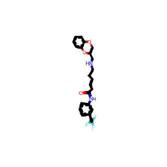 O=C(CCCCCNCC1COc2ccccc2O1)Nc1cccc(C(F)(F)F)c1